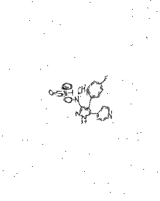 CN(O[SH](=O)=O)c1n[nH]c(-c2ccncc2)c1-c1ccc(F)cc1